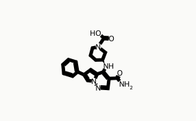 NC(=O)c1cnn2cc(-c3ccccc3)cc2c1N[C@@H]1CCCN(C(=O)O)C1